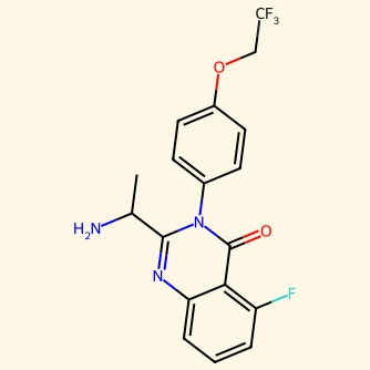 CC(N)c1nc2cccc(F)c2c(=O)n1-c1ccc(OCC(F)(F)F)cc1